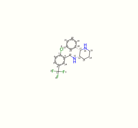 FC(F)(F)c1ccc(Cl)c(CN[C@H]2CCCN[C@H]2c2ccccc2)c1